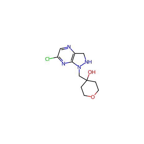 OC1(CN2NCc3ncc(Cl)nc32)CCOCC1